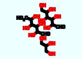 O=CC(O)C(O)C(O)C(O)C(=O)O.O=CC(O)C(O)C(O)C(O)CO.OCC(O)CO